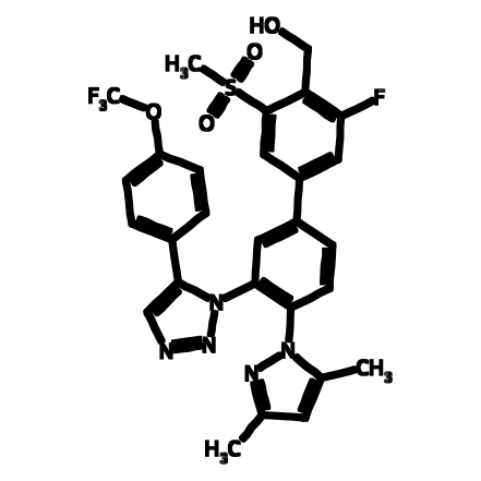 Cc1cc(C)n(-c2ccc(-c3cc(F)c(CO)c(S(C)(=O)=O)c3)cc2-n2nncc2-c2ccc(OC(F)(F)F)cc2)n1